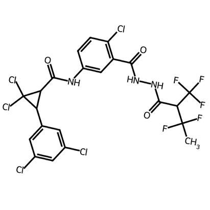 CC(F)(F)C(C(=O)NNC(=O)c1cc(NC(=O)C2C(c3cc(Cl)cc(Cl)c3)C2(Cl)Cl)ccc1Cl)C(F)(F)F